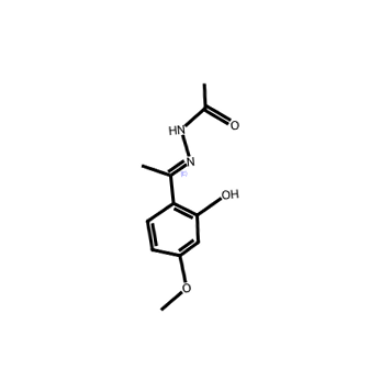 COc1ccc(/C(C)=N/NC(C)=O)c(O)c1